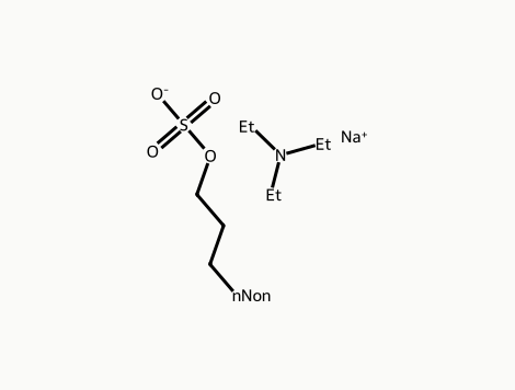 CCCCCCCCCCCCOS(=O)(=O)[O-].CCN(CC)CC.[Na+]